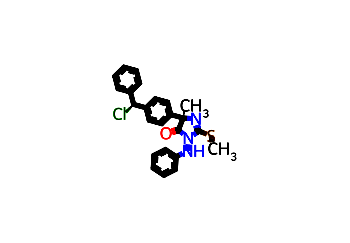 CSC1=N[C@](C)(c2ccc([C@@H](Cl)c3ccccc3)cc2)C(=O)N1Nc1ccccc1